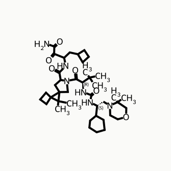 CC(C)(C)[C@@H](NC(=O)N[C@H](CN1CCOCC1(C)C)C1CCCCC1)C(=O)N1CC2(CC1C(=O)NC(CC1CCC1)C(=O)C(N)=O)C(C)(C)C21CCC1